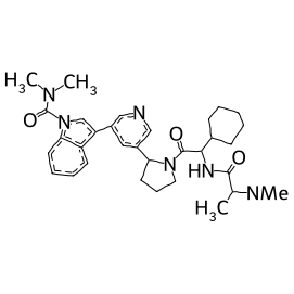 CNC(C)C(=O)NC(C(=O)N1CCCC1c1cncc(-c2cn(C(=O)N(C)C)c3ccccc23)c1)C1CCCCC1